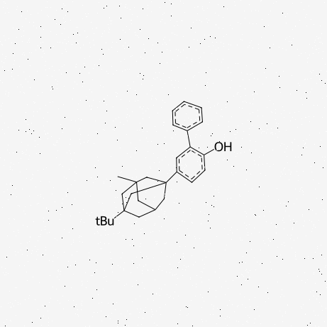 CC12CC3CC(c4ccc(O)c(-c5ccccc5)c4)(C1)CC(C(C)(C)C)(C3)C2